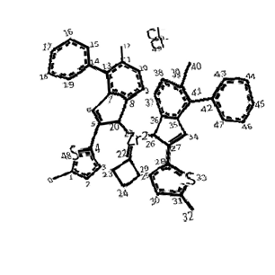 Cc1ccc(C2=Cc3c(ccc(C)c3-c3ccccc3)[CH]2[Zr+2](=[C]2CCC2)[CH]2C(c3ccc(C)s3)=Cc3c2ccc(C)c3-c2ccccc2)s1.[Cl-].[Cl-]